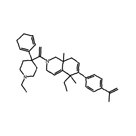 C=C(C)c1ccc(C2=CCC3(C)CN(C(=C)C4(C5=CCCC=C5)CCN(CC)CC4)CC=C3C2(C)CC)cc1